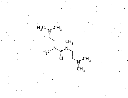 CN(C)CCN(C)P(Cl)N(C)CCN(C)C